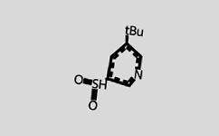 CC(C)(C)c1cncc([SH](=O)=O)c1